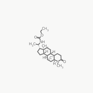 CCOC(=O)NC(C)[C@H]1CC[C@H]2[C@@H]3CC[C@H]4N(C)C(=O)CC[C@]4(C)[C@H]3CC[C@]12C